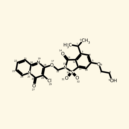 CC(C)c1cc(OCCO)cc2c1C(=O)N(COc1nc3ccccn3c(=O)c1Cl)S2(=O)=O